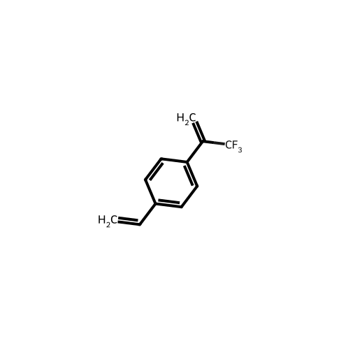 C=Cc1ccc(C(=C)C(F)(F)F)cc1